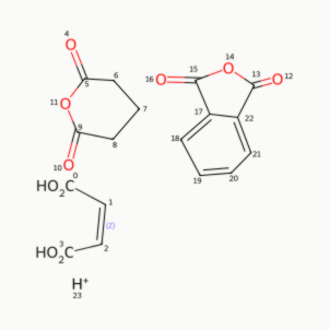 O=C(O)/C=C\C(=O)O.O=C1CCCC(=O)O1.O=C1OC(=O)c2ccccc21.[H+]